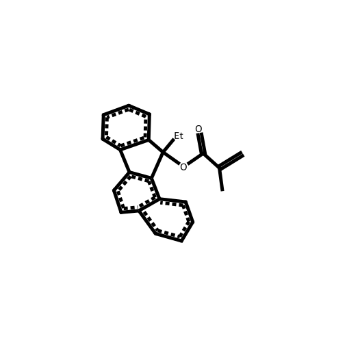 C=C(C)C(=O)OC1(CC)c2ccccc2-c2ccc3ccccc3c21